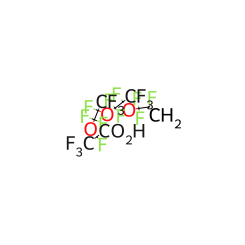 C=C(F)C(F)(F)OC(F)(C(F)(F)F)C(F)(F)OC(F)(C(F)(F)F)C(F)(F)OC(F)(C(=O)O)C(F)(F)F